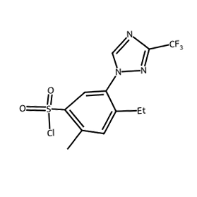 CCc1cc(C)c(S(=O)(=O)Cl)cc1-n1cnc(C(F)(F)F)n1